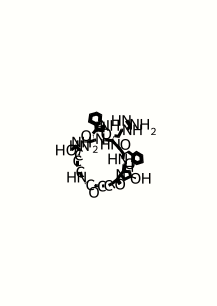 C[C@H]1CCC(=O)CCNCCCC[C@@H]([C@@H](N)O)NC(=O)[C@H](Cc2c[nH]c3ccccc23)NC(=O)[C@H](CCCNC(=N)N)NC(=O)[C@@H](Cc2ccccc2)NC(=O)[C@@H]2C[C@@H](O)CN2C1=O